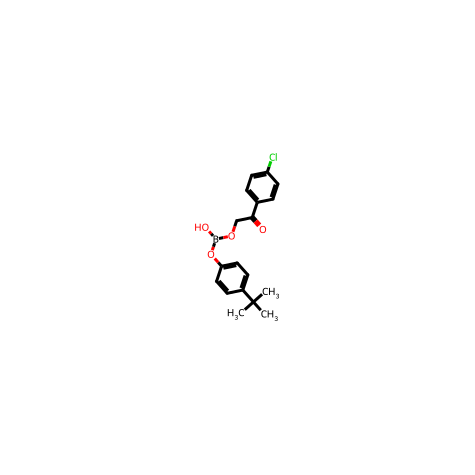 CC(C)(C)c1ccc(OB(O)OCC(=O)c2ccc(Cl)cc2)cc1